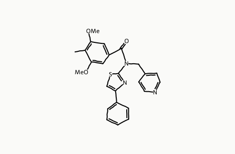 COc1cc(C(=O)N(Cc2ccncc2)c2nc(-c3ccccc3)cs2)cc(OC)c1C